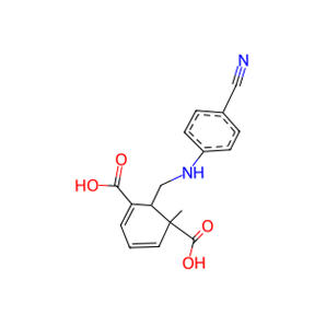 CC1(C(=O)O)C=CC=C(C(=O)O)C1CNc1ccc(C#N)cc1